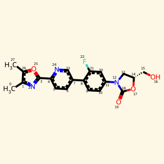 Cc1nc(-c2ccc(-c3ccc(N4C[C@H](CO)OC4=O)cc3F)cn2)oc1C